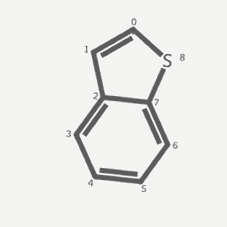 [c]1cc2[c]cccc2s1